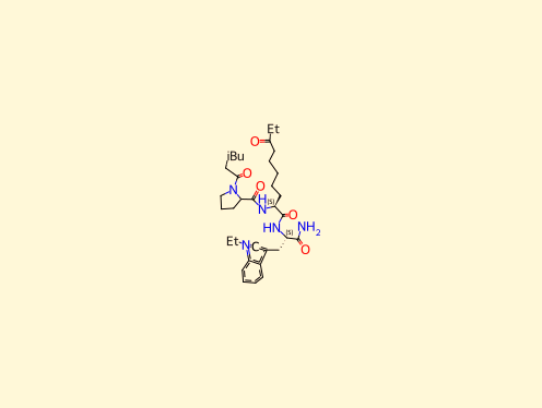 CCC(=O)CCCCC[C@H](NC(=O)C1CCCN1C(=O)CC(C)CC)C(=O)N[C@@H](Cc1cn(CC)c2ccccc12)C(N)=O